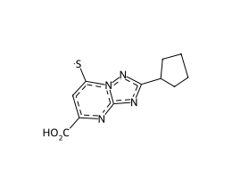 O=C(O)c1cc([S])n2nc(C3CCCC3)nc2n1